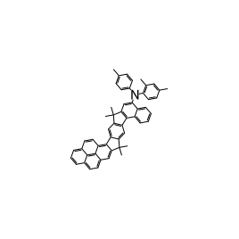 Cc1ccc(N(c2ccc(C)cc2C)c2cc3c(c4ccccc24)-c2cc4c(cc2C3(C)C)-c2c(cc3ccc5cccc6ccc2c3c56)C4(C)C)cc1